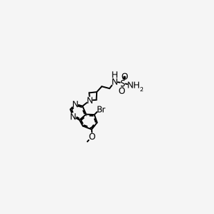 COc1cc(Br)c2c(N3CC(CCNS(N)(=O)=O)C3)ncnc2c1